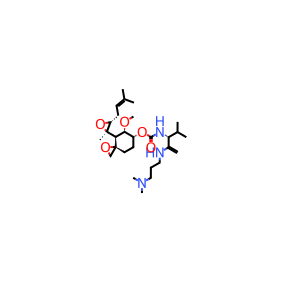 C=C(NCCCN(C)C)[C@H](NC(=O)O[C@@H]1CC[C@]2(CO2)[C@@H]([C@@]2(C)O[C@@H]2CC=C(C)C)[C@@H]1OC)C(C)C